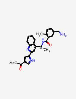 COC(=O)c1c[nH]c(-c2cc([C@@H](C)NC(=O)c3cc(CN)ccc3C)c3ccccc3n2)c1